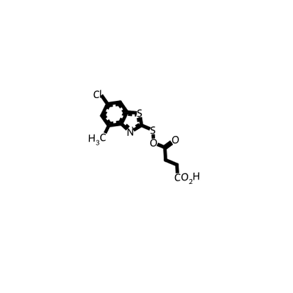 Cc1cc(Cl)cc2sc(SOC(=O)CCC(=O)O)nc12